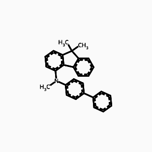 CN(c1ccc(-c2ccccc2)cc1)c1cccc2c1-c1ccccc1C2(C)C